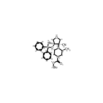 C[C@H]1CN(C(=O)OC(C)(C)C)CCN1[C@]1(C#N)COC[C@@H]1O[Si](c1ccccc1)(c1ccccc1)C(C)(C)C